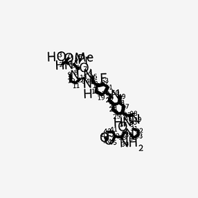 COC(C)(O)N[C@H](C(=O)N1CCC[C@H]1c1ncc(-c2ccc(-c3cc4ccc(-c5cnc([C@@H]6CCCN6C(=O)[C@@H](N)C6CCOCC6)[nH]5)cc4cn3)cc2F)[nH]1)C(C)C